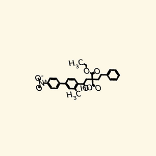 CCOC(=O)C(CCc1ccccc1)(CC(=O)c1ccc(-c2ccc([N+](=O)[O-])cc2)cc1C)C(=O)O